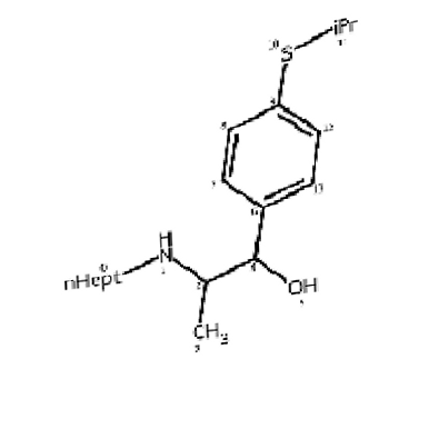 CCCCCCCNC(C)C(O)c1ccc(SC(C)C)cc1